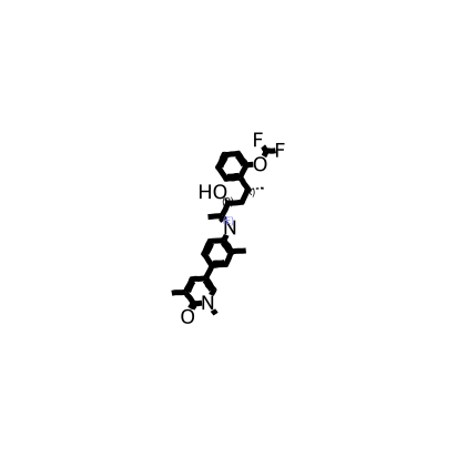 C/C(=N\c1ccc(-c2cc(C)c(=O)n(C)c2)cc1C)[C@H](O)C[C@@H](C)c1ccccc1OC(F)F